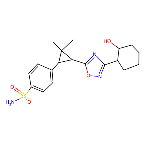 CC1(C)C(c2ccc(S(N)(=O)=O)cc2)C1c1nc(C2CCCCC2O)no1